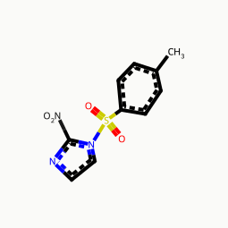 Cc1ccc(S(=O)(=O)n2ccnc2[N+](=O)[O-])cc1